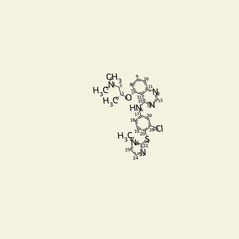 C[C@H](CN(C)C)Oc1cccc2ncnc(Nc3ccc(Sc4nccn4C)c(Cl)c3)c12